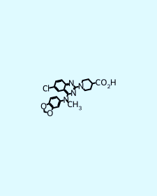 CN(c1ccc2c(c1)OCO2)c1nc(N2CCC(C(=O)O)CC2)nc2ccc(Cl)cc12